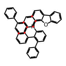 c1ccc(-c2cccc(N(c3cccc(-c4ccccc4)c3-c3ccccc3-c3ccccc3)c3cccc4c3oc3ccccc34)c2)cc1